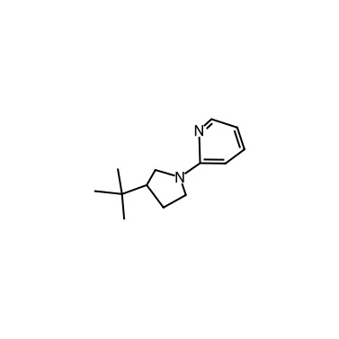 CC(C)(C)C1CCN(c2ccccn2)C1